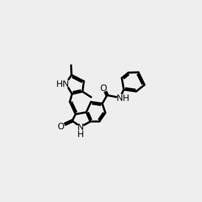 Cc1cc(C)c(C=C2C(=O)Nc3ccc(C(=O)Nc4ccccc4)cc32)[nH]1